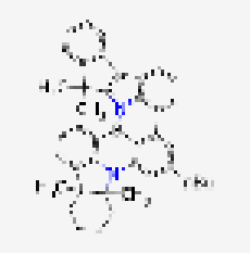 CCCCc1cc2c3c(c1)N1c4c(cccc4C4(C)CCCCC14C)B3n1c3c(c4cccc-2c41)-c1ccccc1C3(C)C